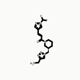 NCc1cn(C[C@@H]2CCCN(C(=O)/C=C/c3cnn(C(F)F)c3)C2)nn1